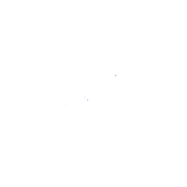 CCCCCC(=O)[NH][Hf+2]([CH]1c2ccccc2-c2ccccc21)[SiH](c1ccccc1)c1ccccc1.[Cl-].[Cl-]